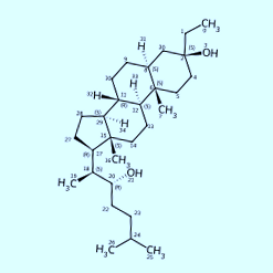 CC[C@]1(O)CC[C@@]2(C)[C@@H](CC[C@@H]3[C@@H]2CC[C@]2(C)[C@@H]([C@H](C)[C@H](O)CCC(C)C)CC[C@@H]32)C1